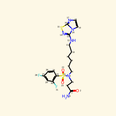 NC(=O)CCN(CCCCCCNc1nsc2nccn12)S(=O)(=O)c1ccc(F)cc1F